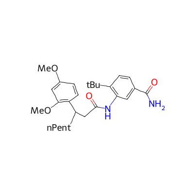 CCCCCC(CC(=O)Nc1cc(C(N)=O)ccc1C(C)(C)C)c1ccc(OC)cc1OC